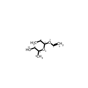 C=COC(CC)OC(C)CO